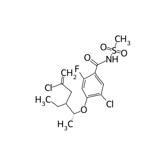 C=C(Cl)CC(CC)[C@@H](C)Oc1cc(F)c(C(=O)NS(C)(=O)=O)cc1Cl